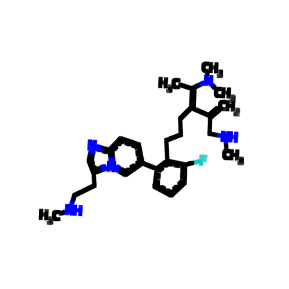 C=C(CNC)/C(CCCc1c(F)cccc1-c1ccc2ncc(CCNC)n2c1)=C(/C)N(C)C